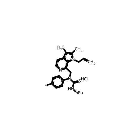 C=CCn1c(C)c(C)c2ccnc(CN(C(=S)NCCCC)c3ccc(F)cc3)c21.Cl